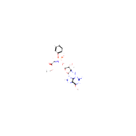 CCOc1nc(N)nc2c1ncn2[C@@H]1O[C@H](COP(=O)(N[C@H](C)C(=O)OC(C)C)Oc2ccccc2)[C@@H](O)[C@@]1(C)N